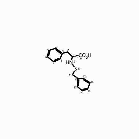 O=C(O)[C@H](Cc1ccccc1)NSCc1ccccc1